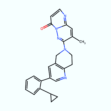 Cc1cc2nccc(=O)n2nc1N1CCc2ncc(-c3ccccc3C3CC3)cc2C1